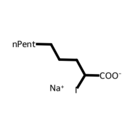 CCCCCCCCC(I)C(=O)[O-].[Na+]